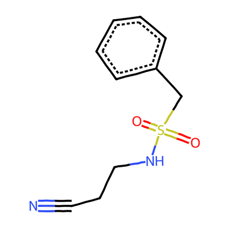 N#CCCNS(=O)(=O)Cc1ccccc1